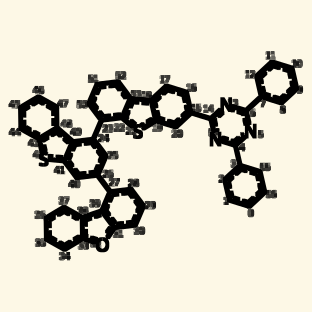 c1ccc(-c2nc(-c3ccccc3)nc(-c3ccc4c(c3)sc3c(-c5cc(-c6cccc7oc8ccccc8c67)cc6sc7ccccc7c56)cccc34)n2)cc1